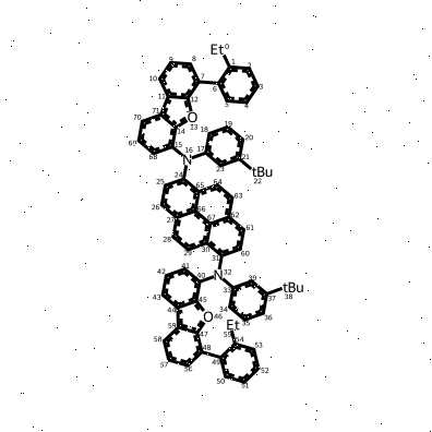 CCc1ccccc1-c1cccc2c1oc1c(N(c3cccc(C(C)(C)C)c3)c3ccc4ccc5c(N(c6cccc(C(C)(C)C)c6)c6cccc7c6oc6c(-c8ccccc8CC)cccc67)ccc6ccc3c4c65)cccc12